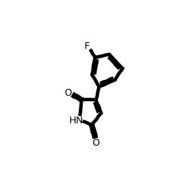 O=C1C=C(c2cccc(F)c2)C(=O)N1